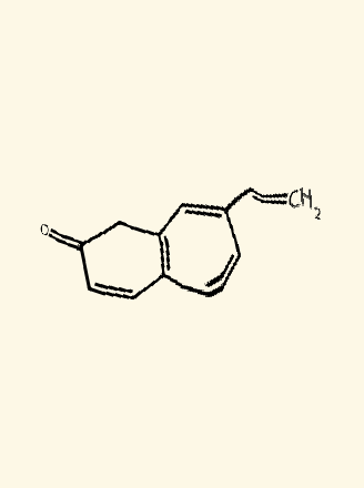 C=Cc1ccc2c(c1)CC(=O)C=C2